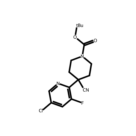 CC(C)(C)OC(=O)N1CCC(C#N)(c2ncc(Cl)cc2F)CC1